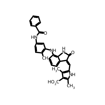 Cc1ccc(NC(=O)c2ccccc2)cc1Nc1cccc2c1NC(=O)/C2=C/c1[nH]c(C)c(C(=O)O)c1C